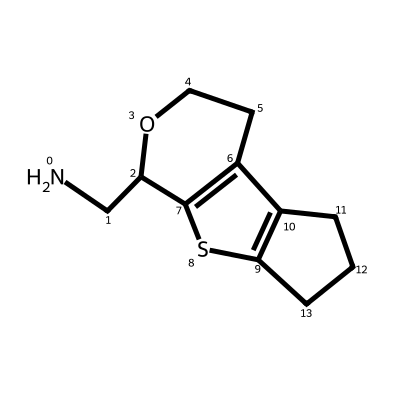 NCC1OCCc2c1sc1c2CCC1